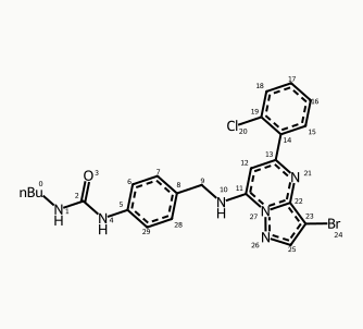 CCCCNC(=O)Nc1ccc(CNc2cc(-c3ccccc3Cl)nc3c(Br)cnn23)cc1